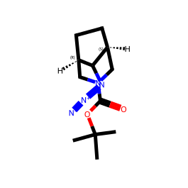 CC(C)(C)OC(=O)N1C[C@H]2CC[C@@H](C1)C2N=[N+]=[N-]